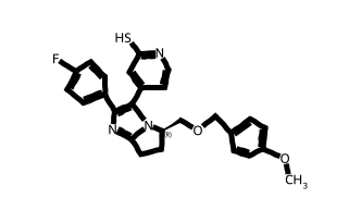 COc1ccc(COC[C@H]2CCc3nc(-c4ccc(F)cc4)c(-c4ccnc(S)c4)n32)cc1